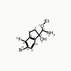 CCOC(N)C1(O)CCc2c1ccc(Br)c2F